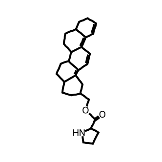 O=C(OCC1CCC2CCC3C(=C2C1)C=CC1=C2C=CCCC2CCC13)C1CCCN1